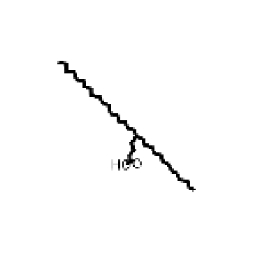 CCCCCCCCCCCCCCCCCCC(CCCCCCCCCCCCC)CCCC(=O)O